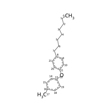 CCCCCCCCc1ccc(Oc2ccc(C)cc2)cc1